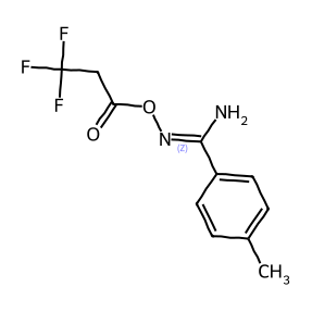 Cc1ccc(/C(N)=N/OC(=O)CC(F)(F)F)cc1